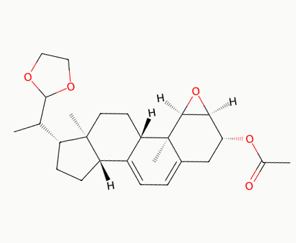 CC(=O)O[C@@H]1CC2=CC=C3[C@@H]4CC[C@H](C(C)C5OCCO5)[C@@]4(C)CC[C@@H]3[C@@]2(C)[C@H]2O[C@@H]12